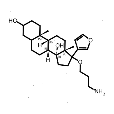 C[C@]12CCC(O)CC1CC[C@@H]1[C@H]2CC[C@]2(C)C(OCCCN)(c3ccoc3)CC[C@@]12O